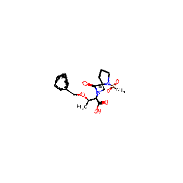 CC(OCc1ccccc1)C(C(=O)O)N1C[C@]2(CCCN2S(C)(=O)=O)C1=O